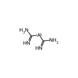 N=[C](N)[Al][C](=N)N